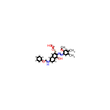 COc1cc(C)c(C)cc1N=Nc1c(SOOO)cc2cc(NCOc3ccccc3)ccc2c1O